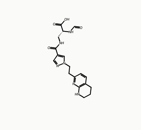 O=CN[C@H](CNC(=O)c1cnn(CCc2ccc3c(n2)NCCC3)c1)C(=O)O